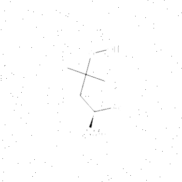 CN[C@@H](CC(C)(C)OO)C(C)=O